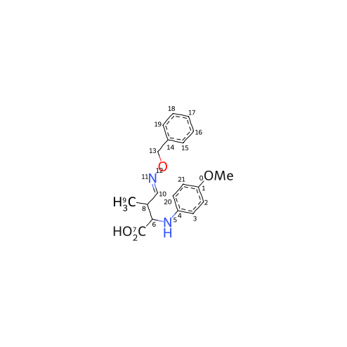 COc1ccc(NC(C(=O)O)C(C)C=NOCc2ccccc2)cc1